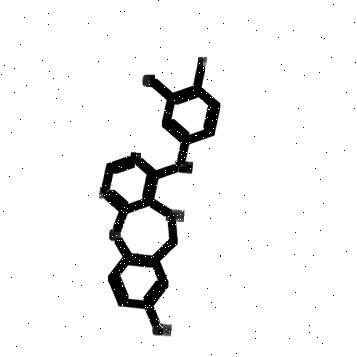 Oc1ccc2c(c1)CNc1c(Nc3ccc(F)c(Cl)c3)ncnc1O2